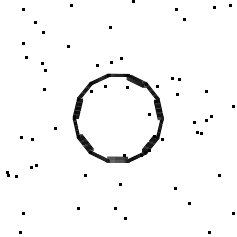 C1=CC=CC=CCCC=CC=CC=C1